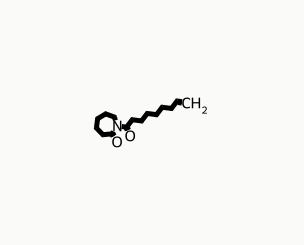 C=CCCCCCCC(=O)N1CCCCCC1=O